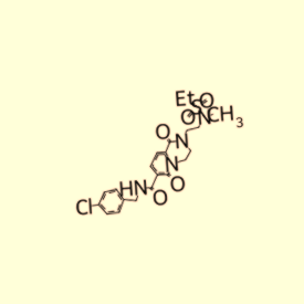 CCS(=O)(=O)N(C)CCN1CCn2c(ccc(C(=O)NCc3ccc(Cl)cc3)c2=O)C1=O